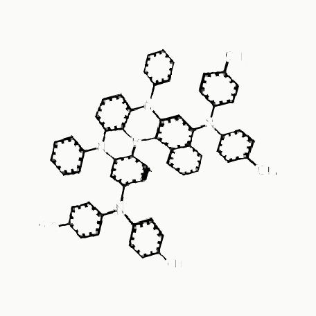 Cc1ccc(N(c2ccc(C)cc2)c2cc3c(c4ccccc24)B2c4c(cccc4N(c4ccccc4)c4cc(N(c5ccc(C)cc5)c5ccc(C)cc5)c5ccccc5c42)N3c2ccccc2)cc1